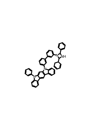 C1=CCC(C2NC(c3ccccc3)N2c2cccc(-c3cccc(-n4c5ccccc5c5cc6c7ccccc7n(-c7ccccc7)c6cc54)c3)c2)C=C1